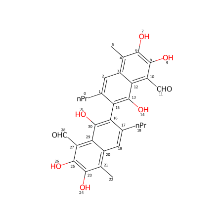 CCCc1cc2c(C)c(O)c(O)c(C=O)c2c(O)c1-c1c(CCC)cc2c(C)c(O)c(O)c(C=O)c2c1O